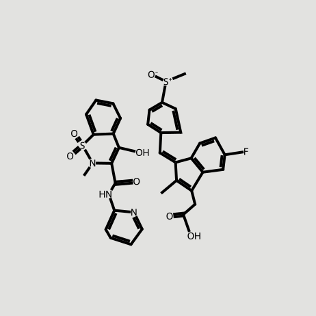 CC1=C(CC(=O)O)c2cc(F)ccc2/C1=C\c1ccc([S+](C)[O-])cc1.CN1C(C(=O)Nc2ccccn2)=C(O)c2ccccc2S1(=O)=O